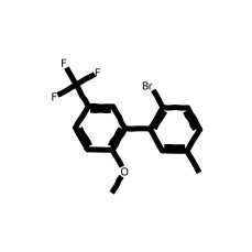 COc1[c]cc(C(F)(F)F)cc1-c1cc(C)ccc1Br